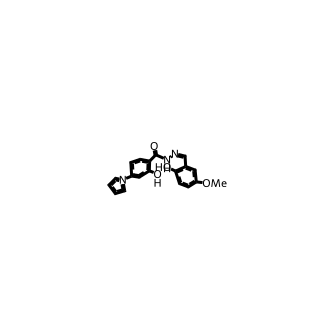 COc1ccc(O)c(/C=N\NC(=O)c2ccc(-n3cccc3)cc2O)c1